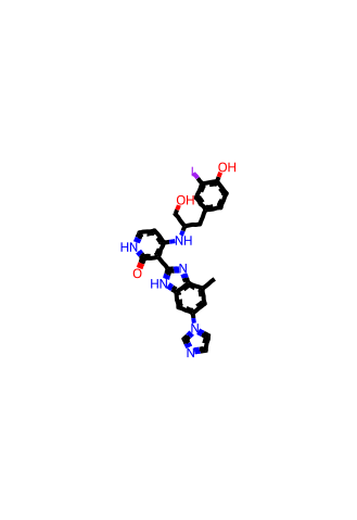 Cc1cc(-n2ccnc2)cc2[nH]c(-c3c(NC(CO)Cc4ccc(O)c(I)c4)cc[nH]c3=O)nc12